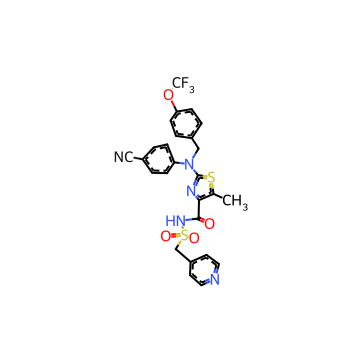 Cc1sc(N(Cc2ccc(OC(F)(F)F)cc2)c2ccc(C#N)cc2)nc1C(=O)NS(=O)(=O)Cc1ccncc1